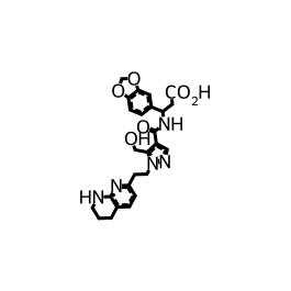 O=C(O)CC(NC(=O)c1cnn(CCc2ccc3c(n2)NCCC3)c1CO)c1ccc2c(c1)OCO2